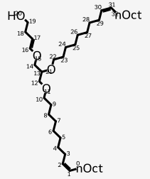 CCCCCCCC/C=C\CCCCCCCCOCC(COC=CCCO)OCCCCCCCC/C=C\CCCCCCCC